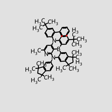 Cc1cc2c3c(n1)N(c1ccc4c(c1)C(C)(C)CC4(C)C)c1cc4c(cc1B3c1cc(C(C)(C)C)ccc1N2c1ccc(C(C)(C)C)cc1-c1ccccc1)C(C)(C)CC4(C)C